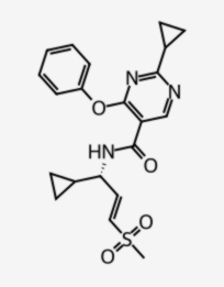 CS(=O)(=O)/C=C/[C@@H](NC(=O)c1cnc(C2CC2)nc1Oc1ccccc1)C1CC1